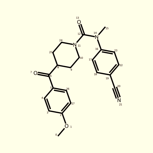 COc1ccc(C(=O)C2CCN(C(=O)N(C)c3ccc(C#N)cc3)CC2)cc1